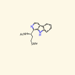 CSCC[C@@H](NC(C)=O)c1nccc2c1[nH]c1ccccc12